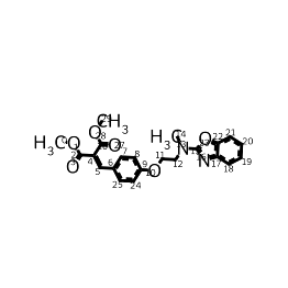 COC(=O)C(=Cc1ccc(OCCN(C)c2nc3ccccc3o2)cc1)C(=O)OC